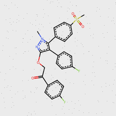 Cn1nc(OCC(=O)c2ccc(F)cc2)c(-c2ccc(F)cc2)c1-c1ccc(S(C)(=O)=O)cc1